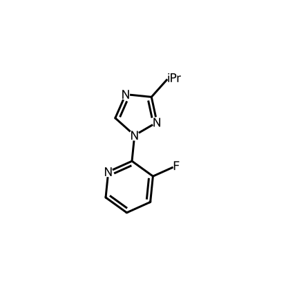 CC(C)c1ncn(-c2ncccc2F)n1